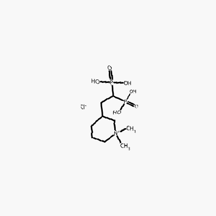 C[N+]1(C)CCCC(CC(P(=O)(O)O)P(=O)(O)O)C1.[Cl-]